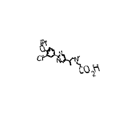 C=C(CN(C)CCC(=O)O)c1cnc(-c2ccc(OC(C)C)c(Cl)c2)nc1